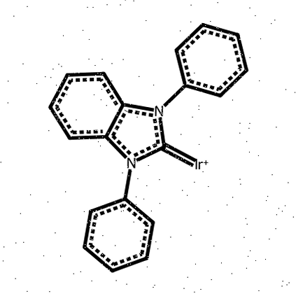 [Ir+]=[c]1n(-c2ccccc2)c2ccccc2n1-c1ccccc1